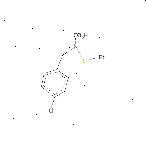 CCSN(Cc1ccc(Cl)cc1)C(=O)O